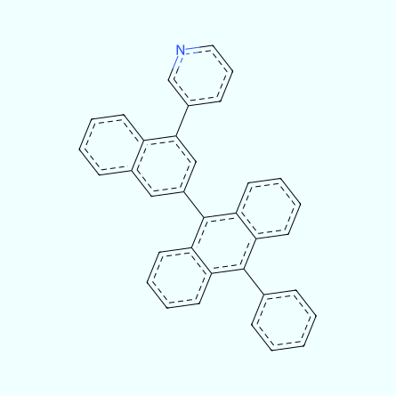 c1ccc(-c2c3ccccc3c(-c3cc(-c4cccnc4)c4ccccc4c3)c3ccccc23)cc1